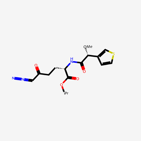 CO[C@@H](C(=O)N[C@@H](CCC(=O)C=[N+]=[N-])C(=O)OC(C)C)c1ccsc1